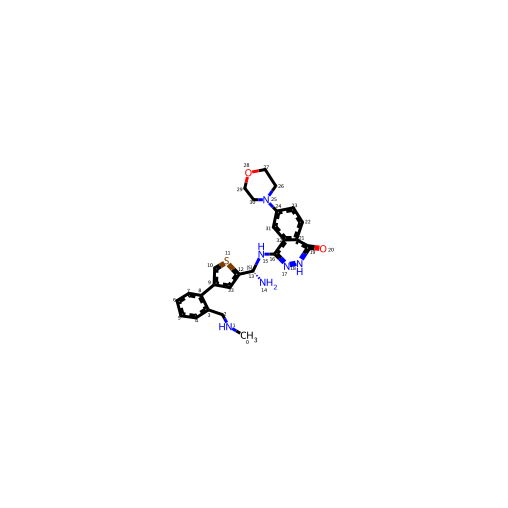 CNCc1ccccc1-c1csc([C@@H](N)Nc2n[nH]c(=O)c3ccc(N4CCOCC4)cc23)c1